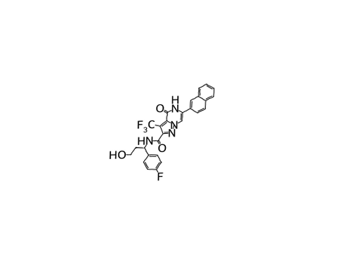 O=C(N[C@H](CCO)c1ccc(F)cc1)c1nn2cc(-c3ccc4ccccc4c3)[nH]c(=O)c2c1C(F)(F)F